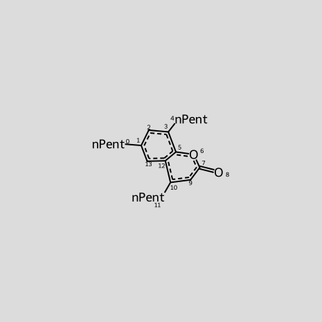 CCCCCc1cc(CCCCC)c2oc(=O)cc(CCCCC)c2c1